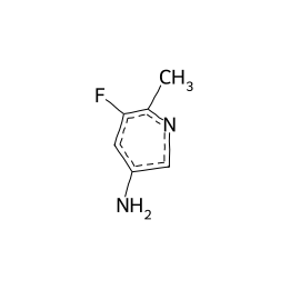 Cc1ncc(N)cc1F